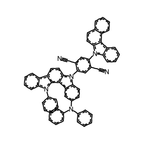 N#Cc1cc(-n2c3ccc(N(c4ccccc4)c4ccccc4)cc3c3c2ccc2c4ccccc4n(-c4ccccc4)c23)c(C#N)cc1-n1c2ccccc2c2c3ccccc3ccc21